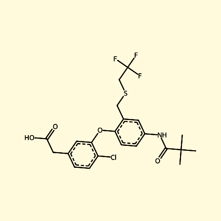 CC(C)(C)C(=O)Nc1ccc(Oc2cc(CC(=O)O)ccc2Cl)c(CSCC(F)(F)F)c1